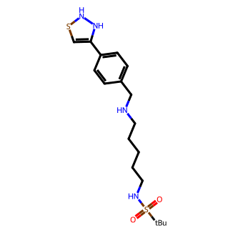 CC(C)(C)S(=O)(=O)NCCCCCNCc1ccc(C2=CSNN2)cc1